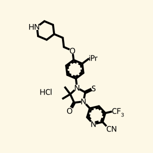 CC(C)c1cc(N2C(=S)N(c3cnc(C#N)c(C(F)(F)F)c3)C(=O)C2(C)C)ccc1OCCC1CCNCC1.Cl